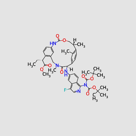 CC[C@@H](C(=O)OC)c1ccc2cc1CN(C)C(=O)[C@H](Nc1ccc3c(N(C(=O)OC(C)(C)C)C(=O)OC(C)(C)C)ncc(F)c3c1)c1ccc(c(C)c1)[C@@H](C)COC(=O)N2